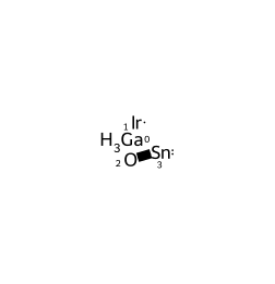 [GaH3].[Ir].[O]=[Sn]